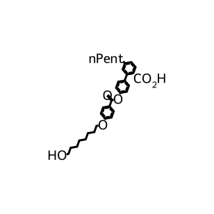 CCCCCc1ccc(C(=O)O)c(-c2ccc(OC(=O)c3ccc(OCCCCCCCCO)cc3)cc2)c1